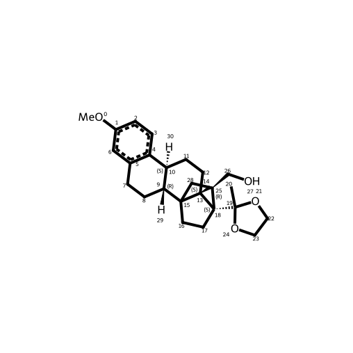 COc1ccc2c(c1)CC[C@@H]1[C@@H]2CC[C@@]2(C)C13CC[C@]2(C1(C)OCCO1)[C@H](CO)C3